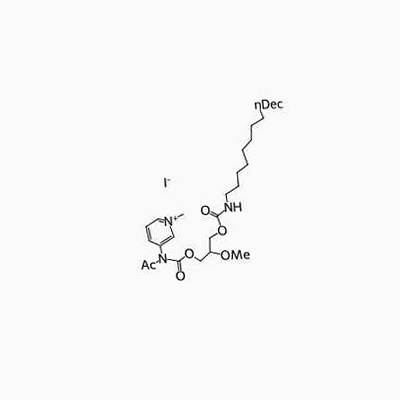 CCCCCCCCCCCCCCCCCCNC(=O)OCC(COC(=O)N(C(C)=O)c1ccc[n+](C)c1)OC.[I-]